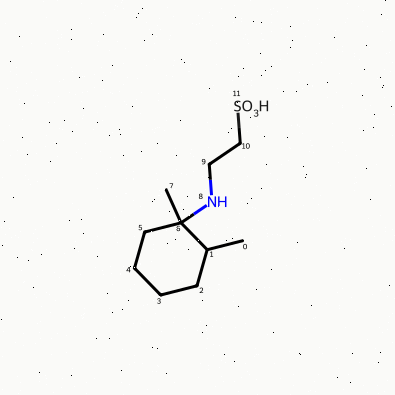 CC1CCCCC1(C)NCCS(=O)(=O)O